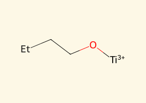 CCCC[O][Ti+3]